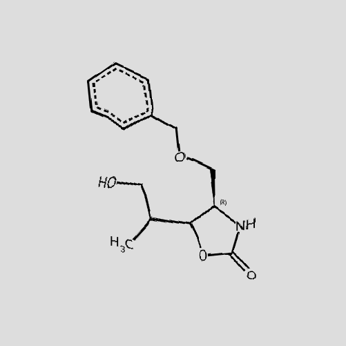 CC(CO)C1OC(=O)N[C@@H]1COCc1ccccc1